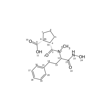 CN(C(=O)[C@H]1CCC[C@H]1C(=O)O)C(CCc1ccccc1)C(=O)NO